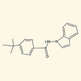 CC(C)(C)c1ccc(C(=O)Nn2ccc3ccccc32)cc1